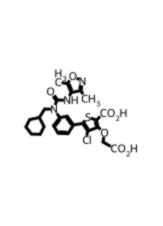 Cc1noc(C)c1NC(=O)N(CC1CCCCC1)c1cccc(-c2sc(C(=O)O)c(OCC(=O)O)c2Cl)c1